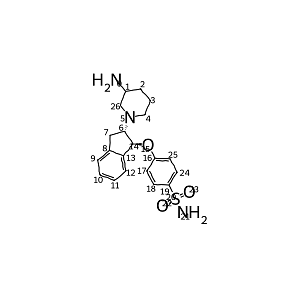 NC1CCCN([C@H]2Cc3ccccc3[C@@H]2Oc2ccc(S(N)(=O)=O)cc2)C1